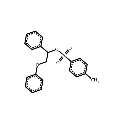 Cc1ccc(S(=O)(=O)OC(COc2ccccc2)c2ccccc2)cc1